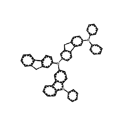 c1ccc(N(c2ccccc2)c2ccc3c(c2)-c2ccc(N(c4ccc5c(c4)Cc4ccccc4-5)c4ccc5c(c4)c4ccccc4n5-c4ccccc4)cc2C3)cc1